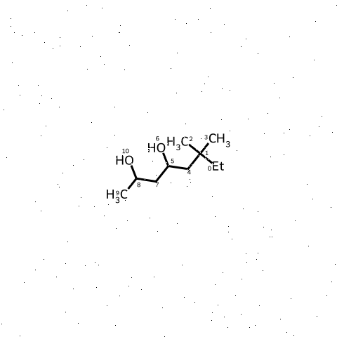 CCC(C)(C)CC(O)CC(C)O